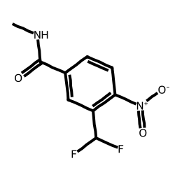 CNC(=O)c1ccc([N+](=O)[O-])c(C(F)F)c1